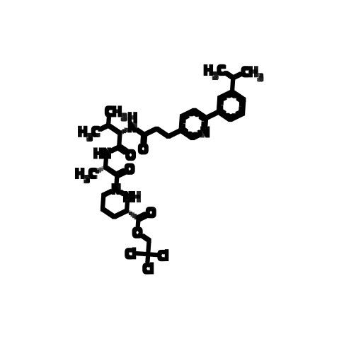 CC(C)c1cccc(-c2ccc(CCC(=O)N[C@H](C(=O)N[C@@H](C)C(=O)N3CCC[C@@H](C(=O)OCC(Cl)(Cl)Cl)N3)C(C)C)cn2)c1